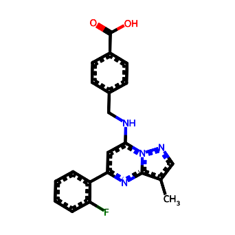 Cc1cnn2c(NCc3ccc(C(=O)O)cc3)cc(-c3ccccc3F)nc12